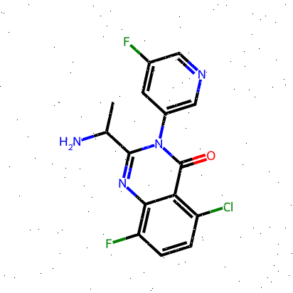 CC(N)c1nc2c(F)ccc(Cl)c2c(=O)n1-c1cncc(F)c1